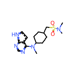 CN(c1ncnc2[nH]ccc12)C1CCC(CS(=O)(=O)N(C)C)CC1